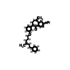 CCCc1ncc2c(n1)N(C)CCN(c1cccc(OCCCN(C)CCc3ccccc3)c1)C2=O